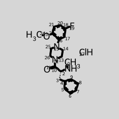 CN[C@H](Cc1ccccc1)C(=O)N1CCN(c2cc(F)ccc2OC)CC1.Cl